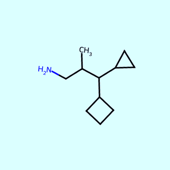 CC(CN)C(C1CCC1)C1CC1